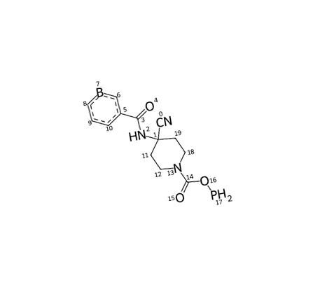 N#CC1(NC(=O)c2cbccc2)CCN(C(=O)OP)CC1